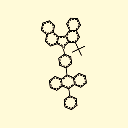 CC(C)(C)c1cc2ccccc2c2c3c4ccccc4ccc3n(-c3ccc(-c4c5ccccc5c(-c5ccccc5)c5ccccc45)cc3)c12